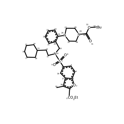 CCOC(=O)c1oc2ccc(S(=O)(=O)N(CCC3CCCCC3)Cc3ccccc3N3CCN(C(=O)OC(C)(C)C)CC3)cc2c1C